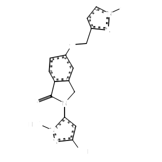 Cc1cc(N2Cc3cc(OCc4ccn(C)n4)ccc3C2=O)n(C)n1